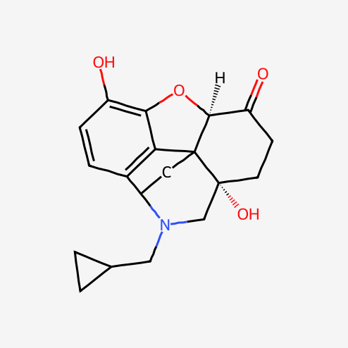 O=C1CC[C@@]2(O)CN(CC3CC3)C3CC24c2c3ccc(O)c2O[C@@H]14